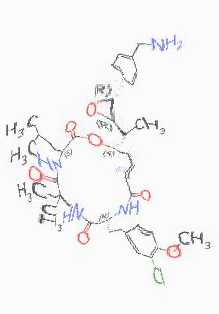 COc1ccc(C[C@H]2NC(=O)/C=C/C[C@@H](C(C)[C@H]3O[C@@H]3c3ccc(CN)cc3)OC(=O)[C@H](CC(C)C)NC(=O)C(C)(C)CNC2=O)cc1Cl